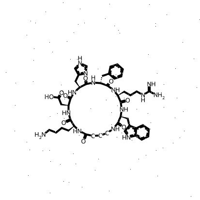 N=C(N)NCCC[C@@H]1NC(=O)[C@@H](Cc2ccccc2)NC(=O)[C@H](Cc2c[nH]cn2)NC(=O)[C@H](CC(=O)O)NC(=O)[C@H](CCCCN)NC(=O)CCCNC(=O)[C@H](Cc2c[nH]c3ccccc23)NC1=O